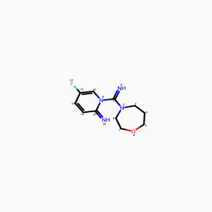 N=C(N1CCCOCC1)n1cc(F)ccc1=N